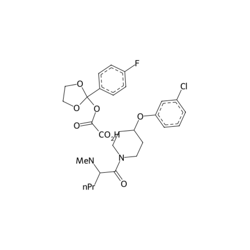 CCCC(NC)C(=O)N1CCC(Oc2cccc(Cl)c2)CC1.O=C(O)C(=O)OC1(c2ccc(F)cc2)OCCO1